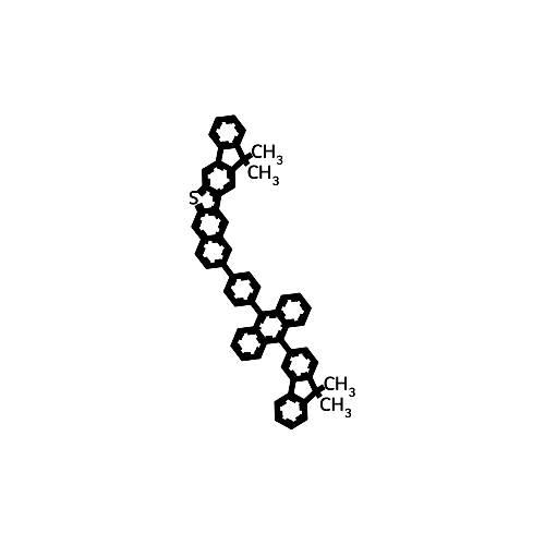 CC1(C)c2ccccc2-c2cc(-c3c4ccccc4c(-c4ccc(-c5ccc6cc7sc8cc9c(cc8c7cc6c5)C(C)(C)c5ccccc5-9)cc4)c4ccccc34)ccc21